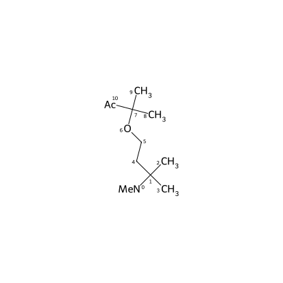 CNC(C)(C)CCOC(C)(C)C(C)=O